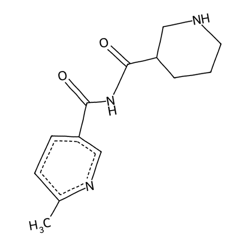 Cc1ccc(C(=O)NC(=O)C2CCCNC2)cn1